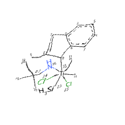 CC1=Cc2ccccc2[CH]1[Ti]([CH3])([CH3])([SiH3])([Cl])([Cl])[NH]C(C)(C)C